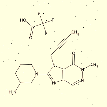 CC#CCn1c(N2CCCC(N)C2)nc2cnn(C)c(=O)c21.O=C(O)C(F)(F)F